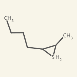 CCCCC1[SiH2]C1C